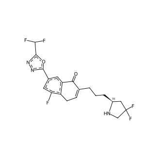 O=C1C(CCC[C@H]2CC(F)(F)CN2)=CCc2c(F)cc(-c3nnc(C(F)F)o3)cc21